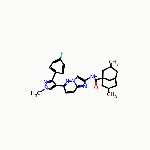 CC1CC2CC(C)CC(C(=O)Nc3cn4nc(-c5cn(C)nc5-c5ccc(F)cc5)ccc4n3)(C1)C2